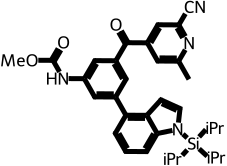 COC(=O)Nc1cc(C(=O)c2cc(C)nc(C#N)c2)cc(-c2cccc3c2ccn3[Si](C(C)C)(C(C)C)C(C)C)c1